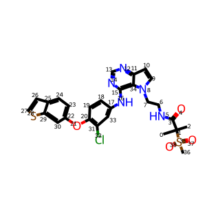 CC(C)(C(=O)NCCn1ccc2ncnc(Nc3ccc(Oc4ccc5ccsc5c4)c(Cl)c3)c21)S(C)(=O)=O